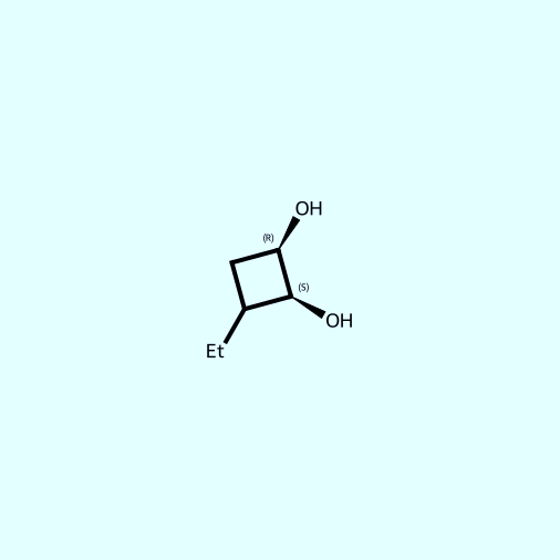 CCC1C[C@@H](O)[C@H]1O